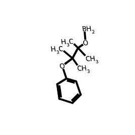 BOC(C)(C)C(C)(C)Oc1ccccc1